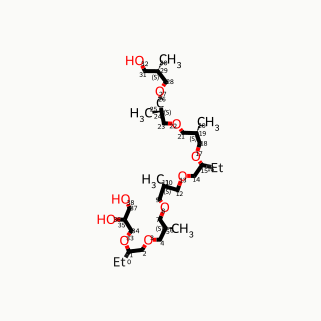 CCC(COC[C@@H](C)COC[C@H](C)COCC(CC)OC[C@@H](C)COC[C@@H](C)COC[C@@H](C)CO)OCC(O)CO